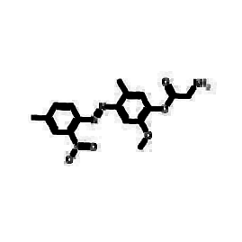 COc1cc(/N=N/c2ccc(C)cc2[N+](=O)[O-])c(C)cc1OC(=O)CN